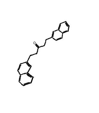 O=C(CCc1ccc2ccccc2c1)CCc1ccc2ccccc2c1